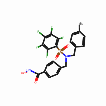 CC(C)(C)c1ccc(CN(Cc2ccc(C(=O)NO)cc2)S(=O)(=O)c2c(F)c(F)c(F)c(F)c2F)cc1